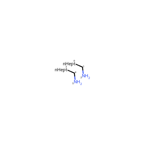 CCCCCCCCN.CCCCCCCCN